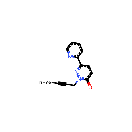 CCCCCCC#CCn1nc(-c2ccccn2)ccc1=O